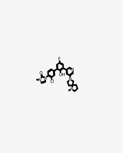 CN1CCCC12CCN(c1cncc(-c3cc(F)cc(-c4ccc(-n5ccn(C)c5=O)c(Cl)c4)c3O)c1)C2